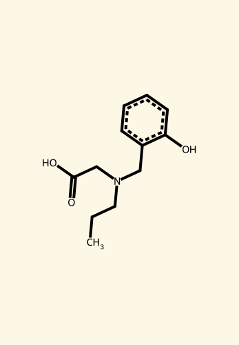 CCCN(CC(=O)O)Cc1ccccc1O